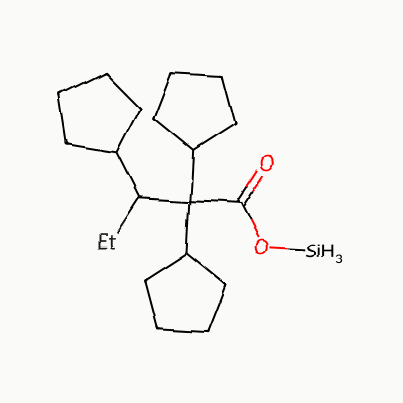 CCC(C1CCCC1)C(C(=O)O[SiH3])(C1CCCC1)C1CCCC1